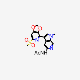 CC(=O)Nc1cc2c(-c3nc(S(C)(=O)=O)cc4c3OCO4)cn(C)c2cn1